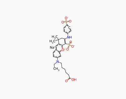 CCN(CCCCCC(=O)O)c1ccc2cc3c([o+]c2c1)C(S(=O)(=O)[O-])=C(Nc1ccc(S(=O)(=O)[O-])cc1)CC3(C)C.[Na+]